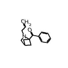 C=CCN1CC2CC1(C(=O)c1ccccc1)C2